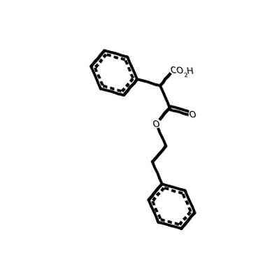 O=C(O)C(C(=O)OCCc1ccccc1)c1ccccc1